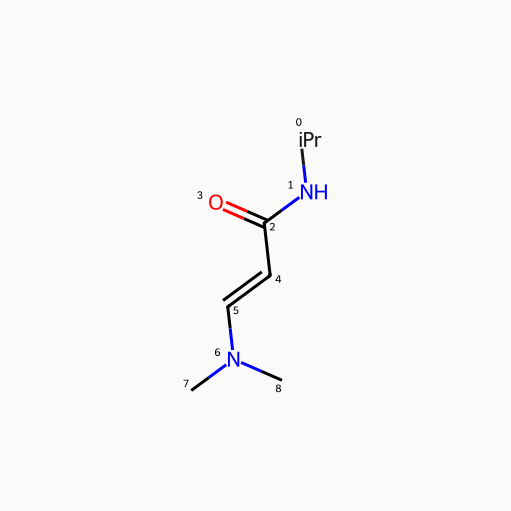 CC(C)NC(=O)/C=C/N(C)C